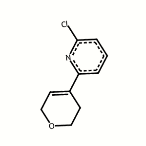 Clc1cccc(C2=CCOCC2)n1